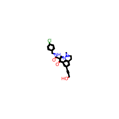 CN1CCc2cc(C#CCO)cc3c(=O)c(C(=O)NCc4ccc(Cl)cc4)cn1c23